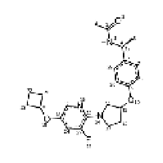 CC(=O)N[C@@H](C)c1ccc(OC2CCN(c3ncc(OC4CCC4)cc3F)C2)cc1